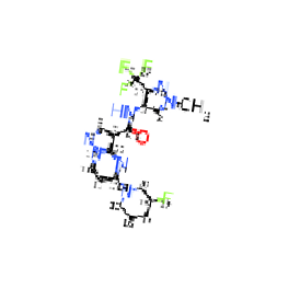 Cn1cc(NC(=O)c2cnn3ccc(N4CCCC(F)C4)nc23)c(C(F)(F)F)n1